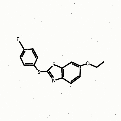 CCOc1ccc2nc(Sc3ccc(F)cc3)sc2c1